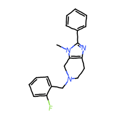 Cn1c(-c2ccccc2)nc2c1CN(Cc1ccccc1F)CC2